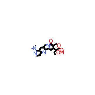 CC[C@@]1(O)C(=O)OCc2c1cc1n(c2=O)Cc2cc3c(N(C)C)nccc3nc2-1